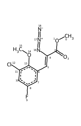 COC(=O)/C(=C/c1cc(F)cc(Cl)c1OC)N=[N+]=[N-]